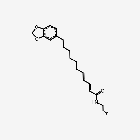 CC(C)CNC(=O)C=CC=CCCCCCCc1ccc2c(c1)OCO2